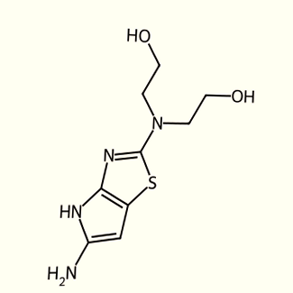 Nc1cc2sc(N(CCO)CCO)nc2[nH]1